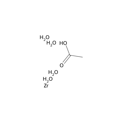 CC(=O)O.O.O.O.O.[Zr]